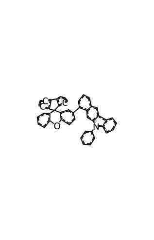 c1ccc(-n2c3ccccc3c3cc4cccc(-c5ccc6c(c5)C5(c7ccccc7O6)c6ccccc6-c6ccccc65)c4cc32)cc1